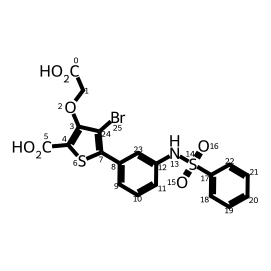 O=C(O)COc1c(C(=O)O)sc(-c2cccc(NS(=O)(=O)c3ccccc3)c2)c1Br